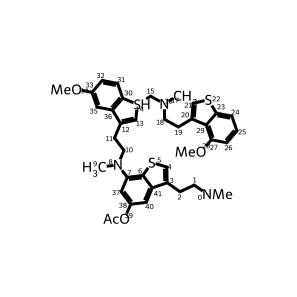 CNCCc1csc2c(N(C)CCC3=C[SH](CN(C)CCc4csc5cccc(OC)c45)c4ccc(OC)cc43)cc(OC(C)=O)cc12